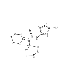 O=C(Nc1ncc(Cl)s1)N(C1CCCCC1)C1CCSCC1